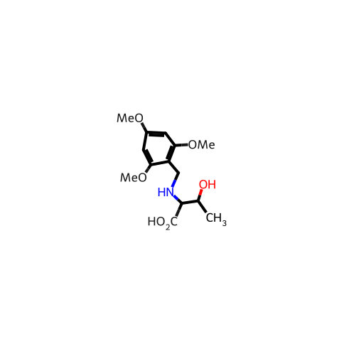 COc1cc(OC)c(CNC(C(=O)O)C(C)O)c(OC)c1